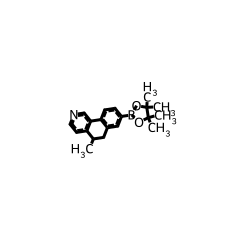 CC1Cc2cc(B3OC(C)(C)C(C)(C)O3)ccc2-c2cnccc21